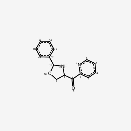 O=C(c1ccccn1)C1COC(c2ccccc2)N1